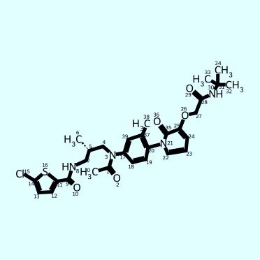 CC(=O)N(C[C@@H](C)CNC(=O)c1ccc(Cl)s1)c1ccc(-n2cccc(OCC(=O)NC(C)(C)C)c2=O)c(C)c1